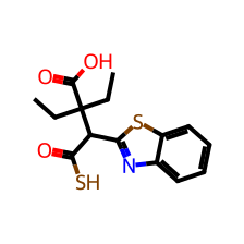 CCC(CC)(C(=O)O)C(C(=O)S)c1nc2ccccc2s1